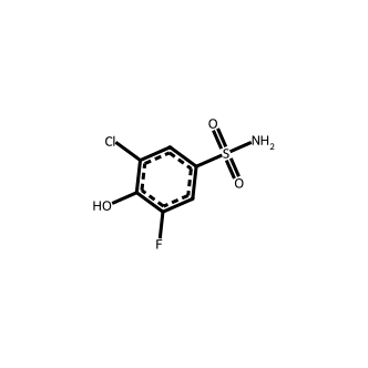 NS(=O)(=O)c1cc(F)c(O)c(Cl)c1